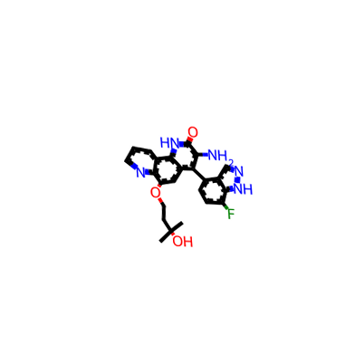 CC(C)(O)CCOc1cc2c(-c3ccc(F)c4[nH]ncc34)c(N)c(=O)[nH]c2c2cccnc12